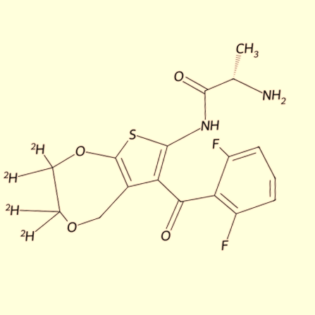 [2H]C1([2H])OCc2c(sc(NC(=O)[C@H](C)N)c2C(=O)c2c(F)cccc2F)OC1([2H])[2H]